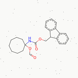 O=COC1(NC(=O)OCC2c3ccccc3-c3ccccc32)CCCCCCC1